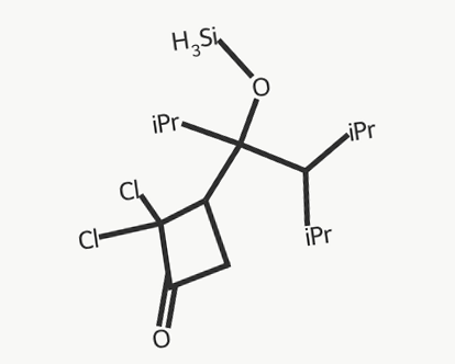 CC(C)C(C(C)C)C(O[SiH3])(C(C)C)C1CC(=O)C1(Cl)Cl